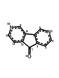 O=C1c2ccncc2-c2cnccc21